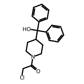 O=C(CCl)N1CCC(C(O)(c2ccccc2)c2ccccc2)CC1